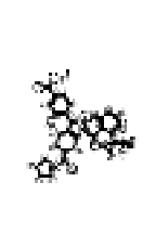 O=C(O)c1ccc(-c2nn(C(=O)c3c(Cl)cccc3C3(C(F)(F)F)CC3)c3c2CCC(C(=O)N2CCCC2)C3)c(F)c1